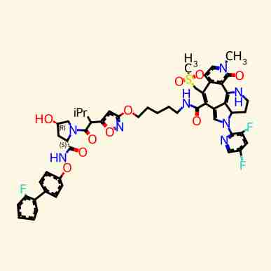 CC(C)C(C(=O)N1C[C@H](O)C[C@H]1C(=O)NOc1ccc(-c2ccccc2F)cc1)c1cc(OCCCCCNC(=O)C2=C(CS(C)(=O)=O)c3ccn(C)c(=O)c3C3=C4C2=CN(c2ncc(F)cc2F)C4CCN3)no1